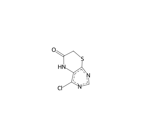 O=C1CSc2ncnc(Cl)c2N1